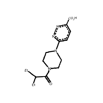 CCC(CC)C(=O)N1CCN(c2ccc(C(=O)O)nn2)CC1